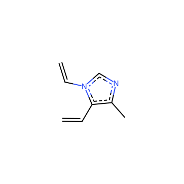 C=Cc1c(C)ncn1C=C